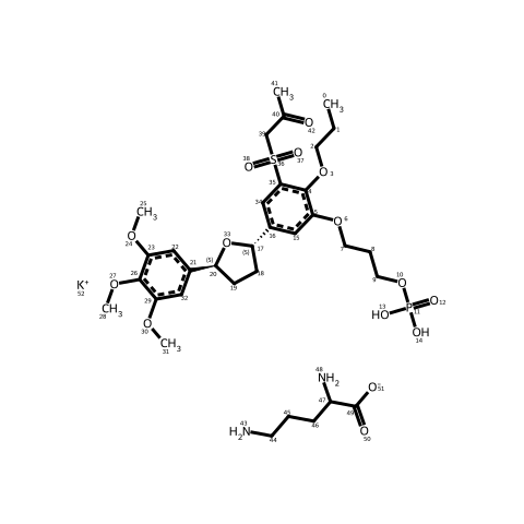 CCCOc1c(OCCCOP(=O)(O)O)cc([C@@H]2CC[C@@H](c3cc(OC)c(OC)c(OC)c3)O2)cc1S(=O)(=O)CC(C)=O.NCCCC(N)C(=O)[O-].[K+]